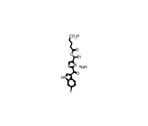 CCC(OC(=O)CCCC(=O)O)c1csc(C(=O)c2c[nH]c3cc(F)ccc23)n1.[NaH]